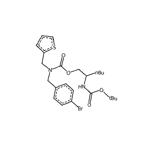 CCCCC(COC(=O)N(Cc1ccc(Br)cc1)Cc1cccs1)NC(=O)OC(C)(C)C